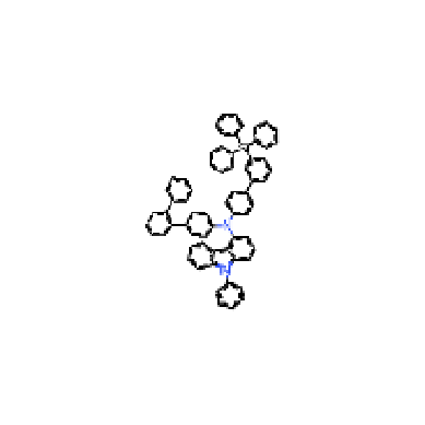 c1ccc(-c2ccccc2-c2ccc(N(c3ccc(-c4cccc([Si](c5ccccc5)(c5ccccc5)c5ccccc5)c4)cc3)c3cccc4c3c3ccccc3n4-c3ccccc3)cc2)cc1